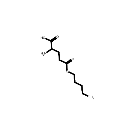 CCCCCOC(=O)CCC(N)C(=O)O